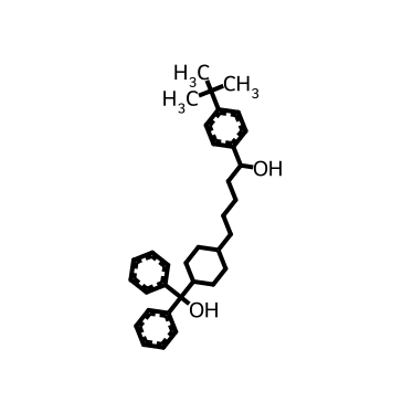 CC(C)(C)c1ccc(C(O)CCCCC2CCC(C(O)(c3ccccc3)c3ccccc3)CC2)cc1